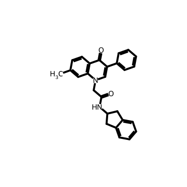 Cc1ccc2c(=O)c(-c3ccccc3)cn(CC(=O)NC3Cc4ccccc4C3)c2c1